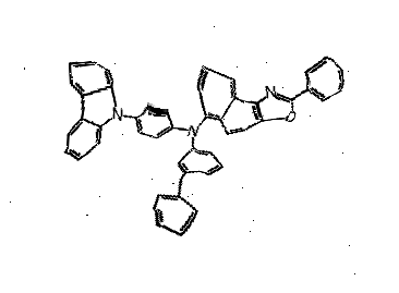 c1ccc(-c2cccc(N(c3ccc(-n4c5ccccc5c5ccccc54)cc3)c3cccc4c3ccc3oc(-c5ccccc5)nc34)c2)cc1